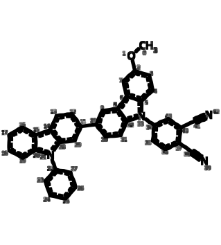 COc1ccc2c(c1)c1cc(-c3ccc4c5ccccc5n(-c5ccccc5)c4c3)ccc1n2-c1ccc(C#N)c(C#N)c1